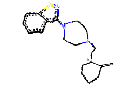 C=C1CCCC[C@H]1CN1CCN(c2nsc3ccccc23)CC1